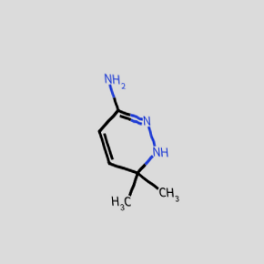 CC1(C)C=CC(N)=NN1